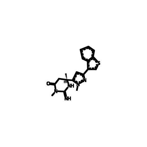 CN1C(=N)N[C@](C)(c2cc(-c3csc4ccccc34)nn2C)CC1=O